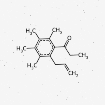 C=CCc1c(C)c(C)c(C)c(C)c1C(=O)CC